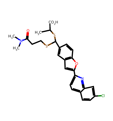 CC(SC(SCCC(=O)N(C)C)c1ccc2oc(-c3ccc4ccc(Cl)cc4n3)cc2c1)C(=O)O